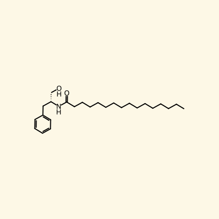 CCCCCCCCCCCCCCCC(=O)N[C@@H](CO)Cc1ccccc1